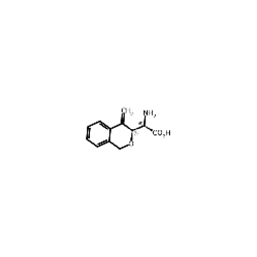 C=C1c2ccccc2CO[C@@H]1[C@@H](N)C(=O)O